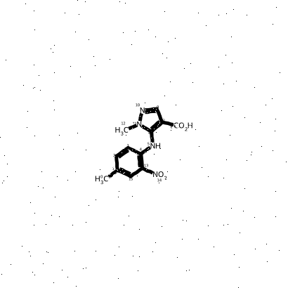 Cc1ccc(Nc2c(C(=O)O)cnn2C)c([N+](=O)[O-])c1